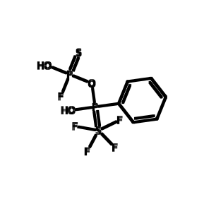 OP(F)(=S)OP(O)(c1ccccc1)=S(F)(F)(F)F